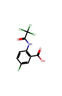 O=C(O)c1cc(F)ccc1NC(=O)C(Cl)(Cl)Cl